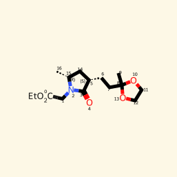 CCOC(=O)CN1C(=O)[C@@H](CCC2(C)OCCO2)C[C@H]1C